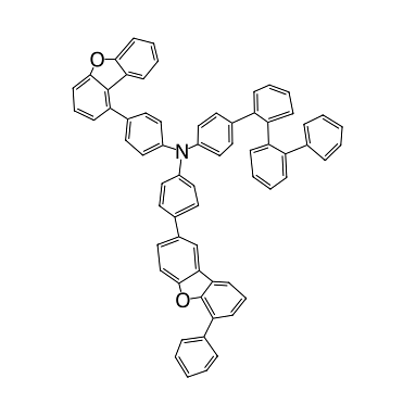 c1ccc(-c2ccccc2-c2ccccc2-c2ccc(N(c3ccc(-c4ccc5oc6c(-c7ccccc7)cccc6c5c4)cc3)c3ccc(-c4cccc5oc6ccccc6c45)cc3)cc2)cc1